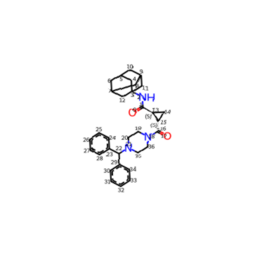 O=C(NC12CC3CC(CC(C3)C1)C2)[C@H]1C[C@@H]1C(=O)N1CCN(C(c2ccccc2)c2ccccc2)CC1